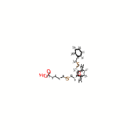 O=C(O)CCCCSCC[C@@H]1[C@H](CSCc2ccccc2)[C@@H]2CC[C@H]1O2